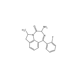 CC1Cc2cccc3c2N1C(=O)C(N)N=C3c1ccccc1F